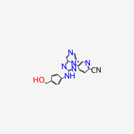 N#Cc1ccc([N+]23C=CN=CC2=NC(Nc2ccc(CO)cc2)=N3)cn1